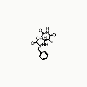 O=C(O)[C@H](Cc1ccccc1)Nc1[nH]c(=O)[nH]c(=O)c1F